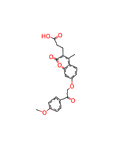 COc1ccc(C(=O)COc2ccc3c(C)c(CCC(=O)O)c(=O)oc3c2)cc1